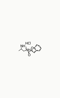 CC(N)CNC(=O)c1cc2ccccc2o1.Cl